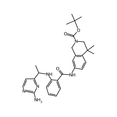 CC(Nc1ccccc1C(=O)Nc1ccc2c(c1)CN(C(=O)OC(C)(C)C)CC2(C)C)c1ccnc(N)n1